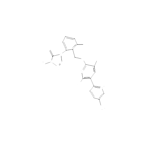 Cc1cc(-c2ccc(C(F)(F)F)cn2)c(C)nc1OCc1c(C)cccc1-n1nnn(C)c1=O